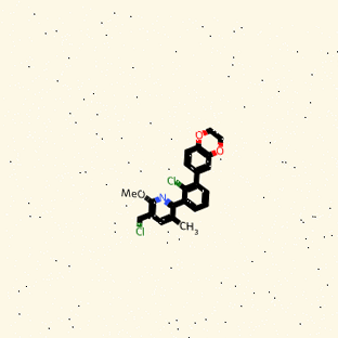 COc1nc(-c2cccc(-c3ccc4c(c3)OCCO4)c2Cl)c(C)cc1CCl